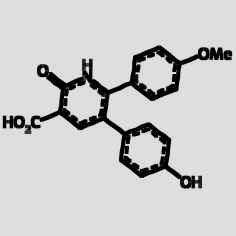 COc1ccc(-c2[nH]c(=O)c(C(=O)O)cc2-c2ccc(O)cc2)cc1